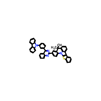 CC1(C)c2cc(-c3nc(-c4cccc(-n5c6ccccc6c6ccccc65)c4)c4ccccc4n3)ccc2-n2c3sc4ccccc4c3c3cccc1c32